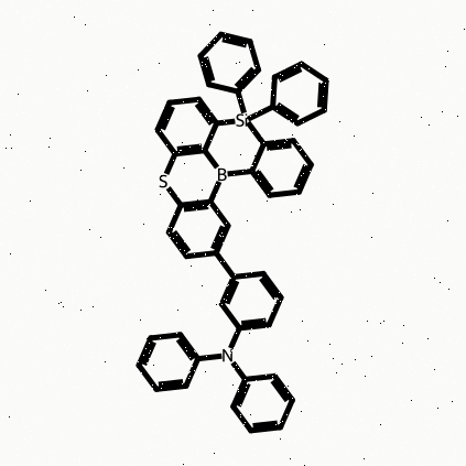 c1ccc(N(c2ccccc2)c2cccc(-c3ccc4c(c3)B3c5ccccc5[Si](c5ccccc5)(c5ccccc5)c5cccc(c53)S4)c2)cc1